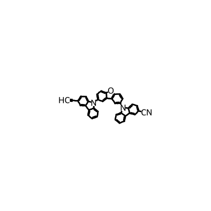 C#Cc1ccc2c(c1)c1ccccc1n2-c1ccc2oc3ccc(-n4c5ccccc5c5cc(C#N)ccc54)cc3c2c1